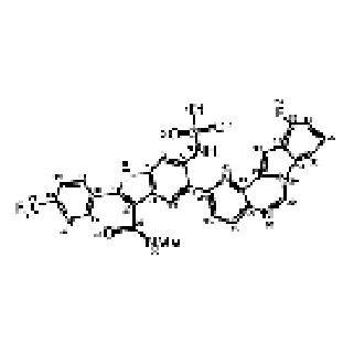 CCS(=O)(=O)Nc1cc2oc(-c3ccc(C(F)(F)F)nc3)c(C(=O)NC)c2cc1-c1ccc2ncn3c4cccc(F)c4cc3c2n1